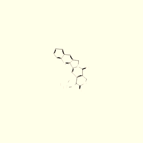 C=C1OCc2c(cc3n(c2=O)Cc2cc4ccccc4nc2-3)[C@]1(CC)OC